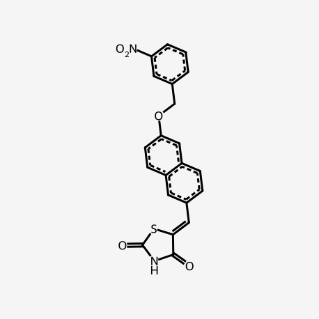 O=C1NC(=O)C(=Cc2ccc3cc(OCc4cccc([N+](=O)[O-])c4)ccc3c2)S1